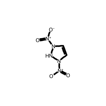 O=[N+]([O-])N1C=CN([N+](=O)[O-])N1